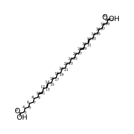 O=C(O)CCCCCCCC=CCC=CCCCCCCCCCCCCCC=CCC=CCCCCCCCC(=O)O